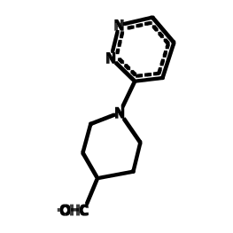 O=[C]C1CCN(c2cccnn2)CC1